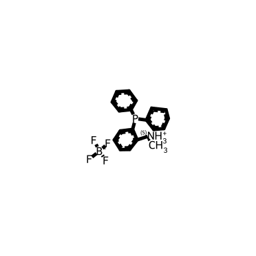 C[C@H]([NH3+])c1ccccc1P(c1ccccc1)c1ccccc1.F[B-](F)(F)F